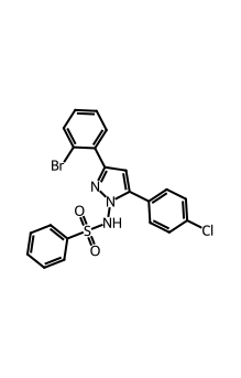 O=S(=O)(Nn1nc(-c2ccccc2Br)cc1-c1ccc(Cl)cc1)c1ccccc1